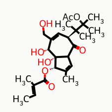 C/C=C(\C)C(=O)O[C@H]1C(C)=CC2C(=O)[C@H](C(C)(C)C(C)(C)OC(C)=O)C=C(CO)[C@@H](O)[C@@]21O